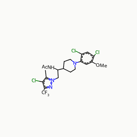 COc1cc(N2CCC(C(Cn3nc(C(F)(F)F)c(Cl)c3C)NC(C)=O)CC2)c(Cl)cc1Cl